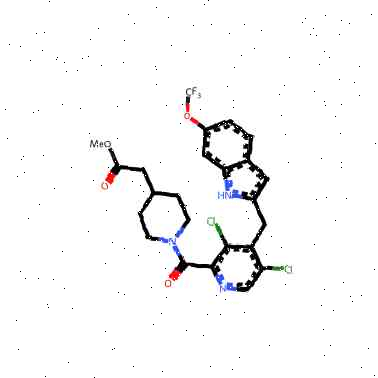 COC(=O)CC1CCN(C(=O)c2ncc(Cl)c(Cc3cc4ccc(OC(F)(F)F)cc4[nH]3)c2Cl)CC1